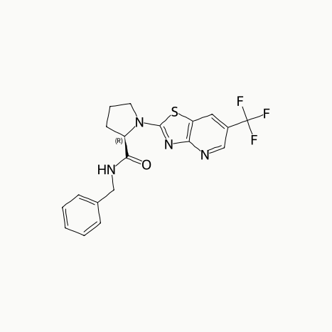 O=C(NCc1ccccc1)[C@H]1CCCN1c1nc2ncc(C(F)(F)F)cc2s1